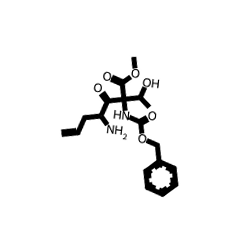 C=CCC(N)C(=O)C(NC(=O)OCc1ccccc1)(C(=O)OC)C(C)O